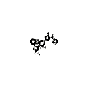 [2H]C1([2H])CN([C@@H]2CN[C@H](C(=O)N3CCSC3)C2)CC([2H])([2H])N1c1cc(C)nn1-c1ccccc1